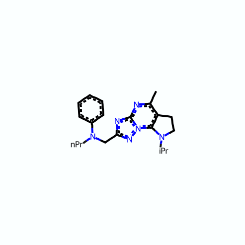 CCCN(Cc1nc2nc(C)c3c(n2n1)N(C(C)C)CC3)c1ccccc1